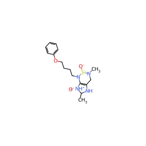 CC1NC2=C(N(CCCCOc3ccccc3)[S+]([O-])N(C)C2)[NH+]1[O-]